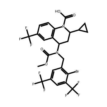 COC(=O)N(Cc1cc(C(F)(F)F)cc(C(F)(F)F)c1Br)C1CC(C2CC2)N(C(=O)O)c2ccc(C(F)(F)F)cc21